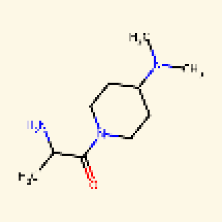 CC(N)C(=O)N1CCC(N(C)C)CC1